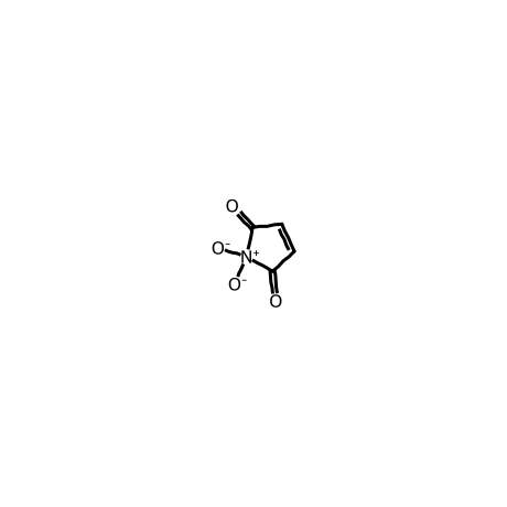 O=C1C=CC(=O)[N+]1([O-])[O-]